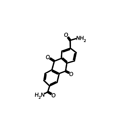 NC(=O)c1ccc2c(c1)C(=O)c1ccc(C(N)=O)cc1C2=O